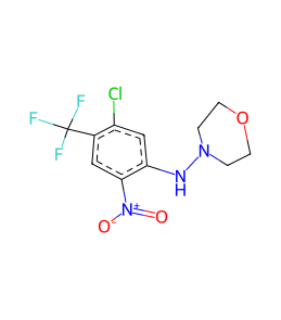 O=[N+]([O-])c1cc(C(F)(F)F)c(Cl)cc1NN1CCOCC1